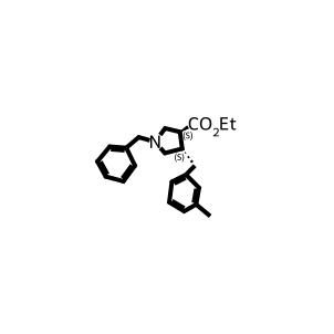 CCOC(=O)[C@@H]1CN(Cc2ccccc2)C[C@H]1Cc1cccc(C)c1